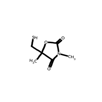 CN1C(=O)OC(C)(CS)C1=O